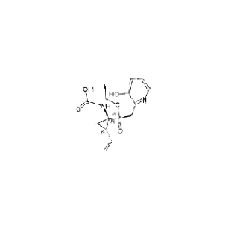 C=C[C@@H]1C[C@]1(NC(=O)O)[P@](=O)(Cc1ncccc1O)OCC